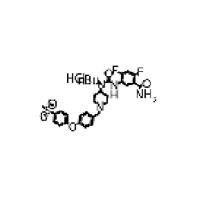 CCCCN(C(=O)Nc1cc(C(N)=O)c(F)cc1F)C1CCN(Cc2ccc(Oc3ccc(S(C)(=O)=O)cc3)cc2)CC1.Cl